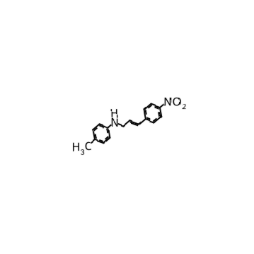 Cc1ccc(NCC=Cc2ccc([N+](=O)[O-])cc2)cc1